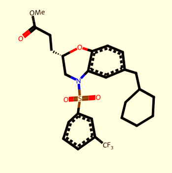 COC(=O)CC[C@H]1CN(S(=O)(=O)c2cccc(C(F)(F)F)c2)c2cc(CC3CCCCC3)ccc2O1